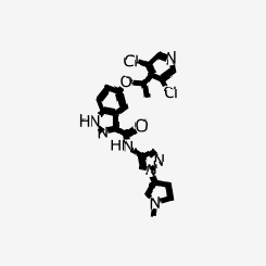 CC(Oc1ccc2[nH]nc(C(=O)Nc3cnn(C4CCN(C)C4)c3)c2c1)c1c(Cl)cncc1Cl